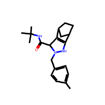 Cc1ccc(CN2NC3=C(C4CCC3C4)C2C(=O)NC(C)(C)C)cc1